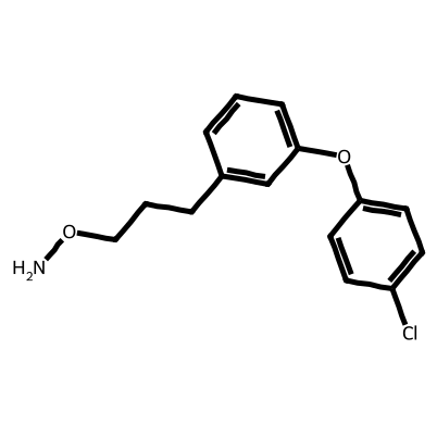 NOCCCc1cccc(Oc2ccc(Cl)cc2)c1